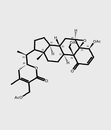 CC(=O)OCC1=C(C)C[C@H]([C@@H](C)C2CC[C@H]3[C@@H]4C[C@H]5O[C@]56[C@@H](OC(C)=O)C=CC(=O)[C@]6(COC(C)=O)[C@H]4CC[C@]23C)OC1=O